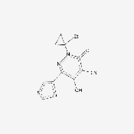 CCC1(n2nc(-c3ccsc3)c(O)c(C#N)c2=O)CC1